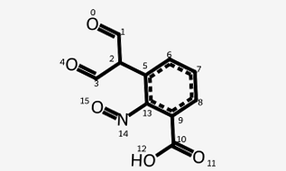 O=CC(C=O)c1cccc(C(=O)O)c1N=O